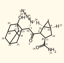 [N-]=[N+]=N[C@H](C(=O)C1[C@H]2C[C@H]2C[C@H]1C(N)=O)C1C2CC3CC(C2)CC1(O)C3